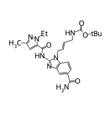 CCn1nc(C)cc1C(=O)Nc1nc2cc(C(N)=O)ccc2n1CC=CCNC(=O)OC(C)(C)C